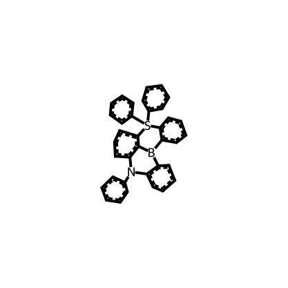 c1ccc(N2c3ccccc3B3c4ccccc4S(c4ccccc4)(c4ccccc4)c4cccc2c43)cc1